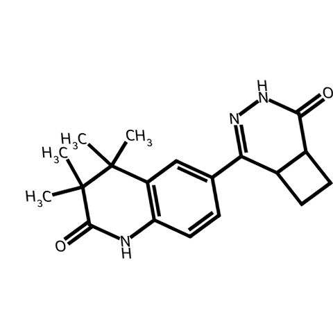 CC1(C)C(=O)Nc2ccc(C3=NNC(=O)C4CCC34)cc2C1(C)C